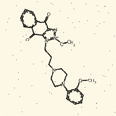 COc1ccccc1N1CCN(CCCn2c3c(n[n+]2OC)C(=O)c2ccccc2C3=O)CC1